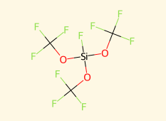 FC(F)(F)O[Si](F)(OC(F)(F)F)OC(F)(F)F